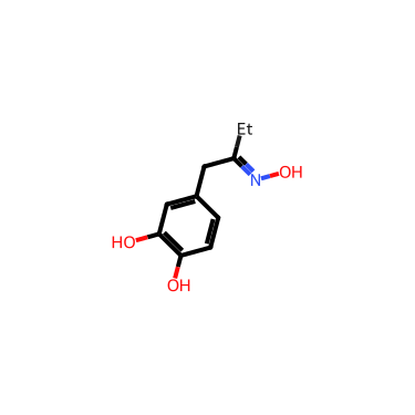 CCC(Cc1ccc(O)c(O)c1)=NO